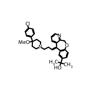 COC1(c2ccc(Cl)cc2)CCN(CCC=C2c3cc(C(C)(C)O)ccc3OCc3ncccc32)CC1